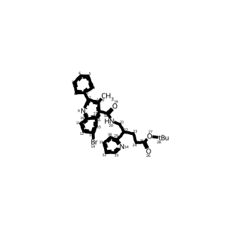 Cc1c(-c2ccccc2)nc2ccc(Br)cc2c1C(=O)NCC(CCC(=O)OC(C)(C)C)c1ccccn1